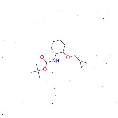 CC(C)(C)OC(=O)NC1CCCCC1OCC1CC1